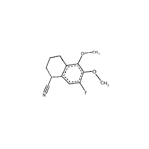 COc1c(F)cc2c(c1OC)CCCC2C#N